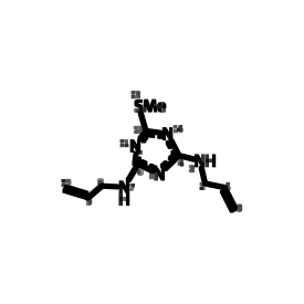 C=CCNc1nc(NCC=C)nc(SC)n1